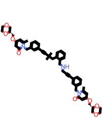 Cc1cc(OC[C@H]2COCCO2)cc(=O)n1Cc1cccc(C#CCNCc2ccccc2CC(C)(C)C#Cc2cccc(Cn3c(C)cc(OC[C@H]4COCCO4)cc3=O)c2)c1